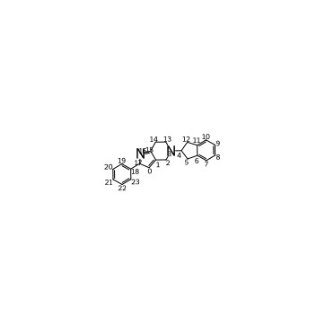 C1=C2CN(C3Cc4ccccc4C3)CCC2=NC1c1ccccc1